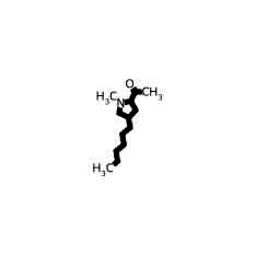 CCCCCCC1CC(C(C)=O)N(C)C1